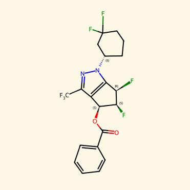 O=C(O[C@H]1c2c(C(F)(F)F)nn([C@H]3CCCC(F)(F)C3)c2[C@@H](F)[C@H]1F)c1ccccc1